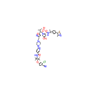 Cc1ncsc1-c1ccc([C@H](C)NC(=O)[C@@H]2C[C@@H](O)CN2C(O)C(c2cc(CCN3CCN(c4ccc(C(=O)NC5C(C)(C)C(Oc6ccc(C#N)c(Cl)c6)C5(C)C)cn4)CC3)no2)C(C)C)cc1